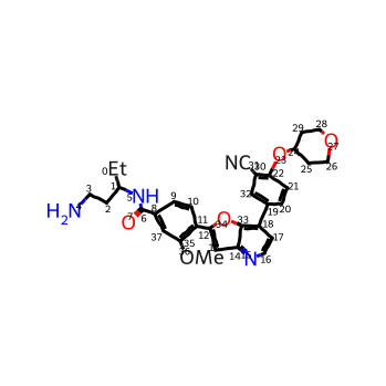 CCC(CCN)NC(=O)c1ccc(-c2cc3nccc(-c4ccc(OC5CCOCC5)c(C#N)c4)c3o2)c(OC)c1